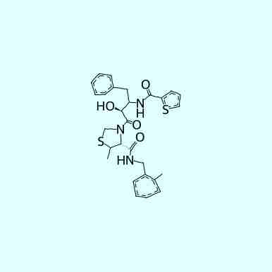 Cc1ccccc1CNC(=O)[C@@H]1C(C)SCN1C(=O)[C@@H](O)C(Cc1ccccc1)NC(=O)c1cccs1